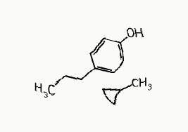 CC1CC1.CCCc1ccc(O)cc1